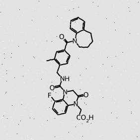 Cc1cc(C(=O)N2CCCCc3ccccc32)ccc1CNC(=O)N1CC(=O)N(CC(=O)O)c2cccc(F)c21